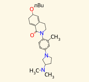 CCCCOC1C=C2CCN(c3ccc(N4CCC(N(C)C)C4)cc3C)C(=O)C2=CC1